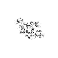 CCCCc1ncc(CNC(=O)C(S)c2ccccc2)n1Cc1ccc(C(=O)O)c(F)c1